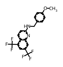 COc1ccc(CNc2ccc3c(C(F)(F)F)cc(C(F)(F)F)cc3n2)cc1